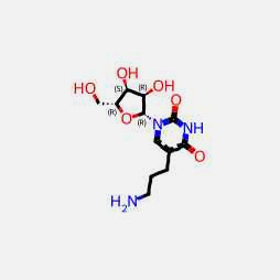 NCCCc1cn([C@@H]2O[C@H](CO)[C@@H](O)[C@H]2O)c(=O)[nH]c1=O